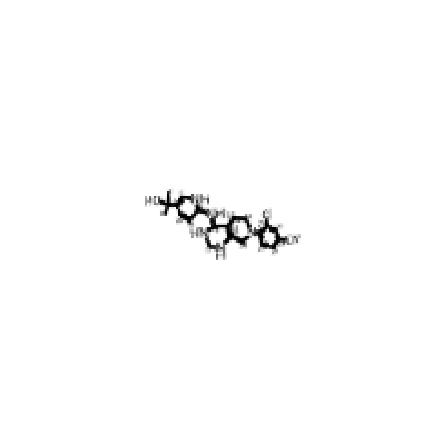 CC(C)(O)C1=CNC(NC2NCNC3=C2CCN(c2ccc(C#N)cc2Cl)C3)C=C1